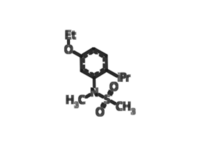 CCOc1ccc(C(C)C)c(N(C)S(C)(=O)=O)c1